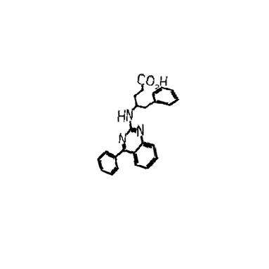 O=C(O)CCC(Cc1ccccc1)Nc1nc(-c2ccccc2)c2ccccc2n1